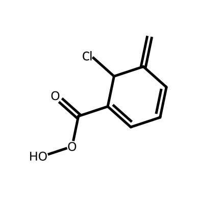 C=C1C=CC=C(C(=O)OO)C1Cl